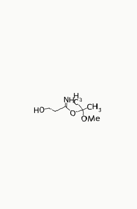 COC(C)(C)OC(=N)CCO